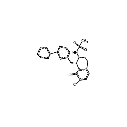 CS(=O)(=O)N[C@H]1CCc2ccc(Cl)c(=O)n2[C@H]1Cc1cccc(-c2ccccc2)c1